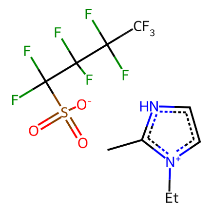 CC[n+]1cc[nH]c1C.O=S(=O)([O-])C(F)(F)C(F)(F)C(F)(F)C(F)(F)F